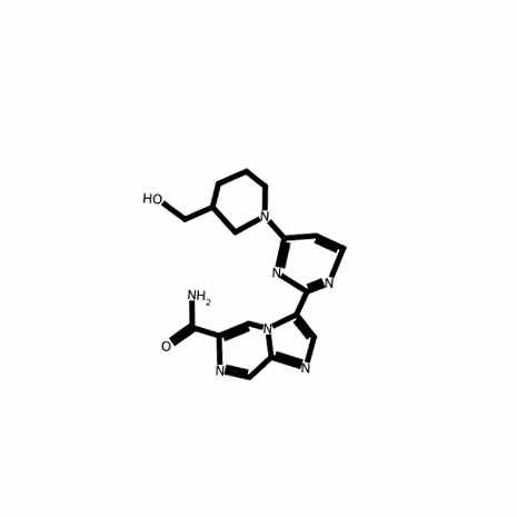 NC(=O)c1cn2c(-c3nccc(N4CCCC(CO)C4)n3)cnc2cn1